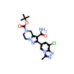 Cc1nnc2c(Cl)cc(-c3nn4c(c3C(N)=O)CN(C(=O)OC(C)(C)C)CC4)cn12